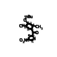 CCCCOc1cc(C)c(C(=O)c2ncc([N+](=O)[O-])s2)cc1Cl